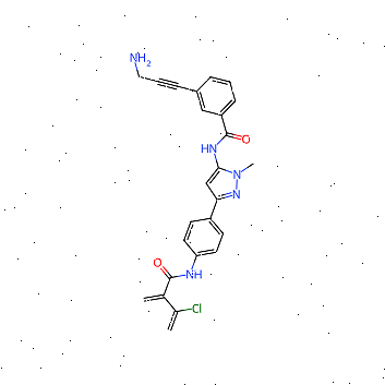 C=C(Cl)C(=C)C(=O)Nc1ccc(-c2cc(NC(=O)c3cccc(C#CCN)c3)n(C)n2)cc1